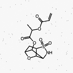 C=CC(=O)OC(C)C(=O)OC1C2CC3C(O2)C1NS3(=O)=O